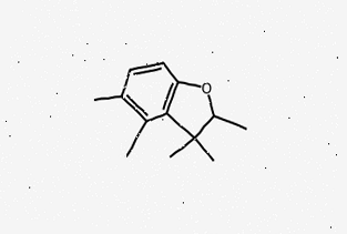 Cc1ccc2c(c1C)C(C)(C)C(C)O2